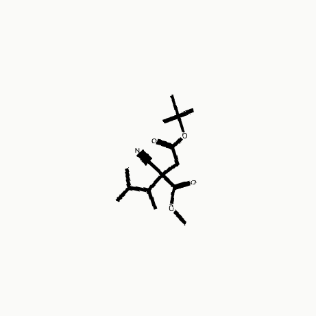 COC(=O)C(C#N)(CC(=O)OC(C)(C)C)C(C)C(C)C